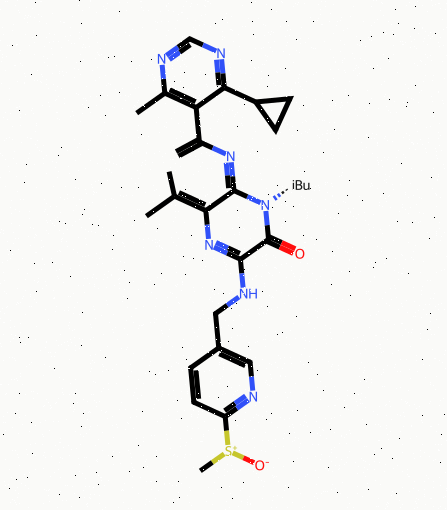 C=C(/N=C1\C(=C(C)C)N=C(NCc2ccc([S+](C)[O-])nc2)C(=O)N1[C@@H](C)CC)c1c(C)ncnc1C1CC1